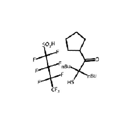 CCCCC(S)(CCCC)C(=O)C1CCCC1.O=S(=O)(O)C(F)(F)C(F)(F)C(F)(F)C(F)(F)F